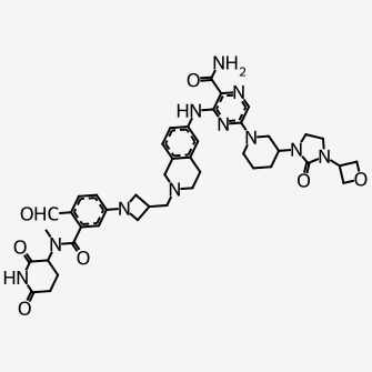 CN(C(=O)c1cc(N2CC(CN3CCc4cc(Nc5nc(N6CCCC(N7CCN(C8COC8)C7=O)C6)cnc5C(N)=O)ccc4C3)C2)ccc1C=O)C1CCC(=O)NC1=O